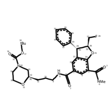 CNC(=O)c1cc(C(=O)NCCC[C@@H]2CN(C(=O)OC(C)(C)C)CCO2)cc2c1O[C@H](CF)[C@H]2c1ccccc1